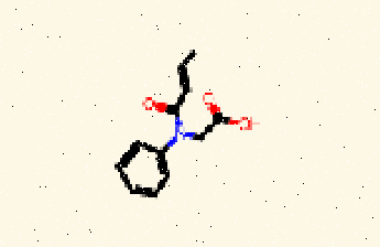 CC=CC(=O)N(CC(=O)O)c1ccccc1